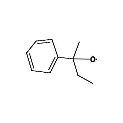 CCC(C)([O])c1ccccc1